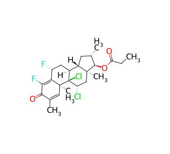 CCC(=O)O[C@@H]1[C@@H](C)C[C@H]2[C@@H]3C[C@@H](F)C4=C(F)C(=O)C(C)=C[C@]4(C)[C@@]3(Cl)[C@@H](Cl)C[C@]12C